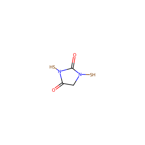 O=C1CN(S)C(=O)N1S